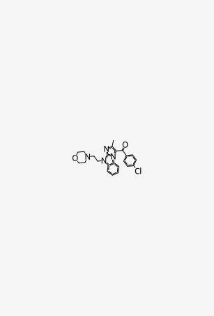 Cc1nc2n(CCN3CCOCC3)c3ccccc3n2c1C(=O)c1ccc(Cl)cc1